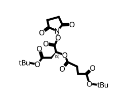 CC(C)(C)OC(=O)CCC(=O)O[C@@H](CC(=O)OC(C)(C)C)C(=O)ON1C(=O)CCC1=O